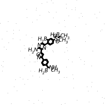 Bc1cc(S(=O)(=O)C(B)(C)C)ccc1-c1cnc(N)c(-c2cc(-c3ccc(C(B)NC)cc3)no2)n1